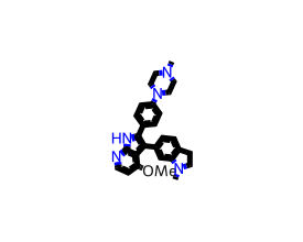 COc1ccnc2[nH]c(-c3ccc(N4CCN(C)CC4)cc3)c(-c3ccc4c(c3)N(C)CC4)c12